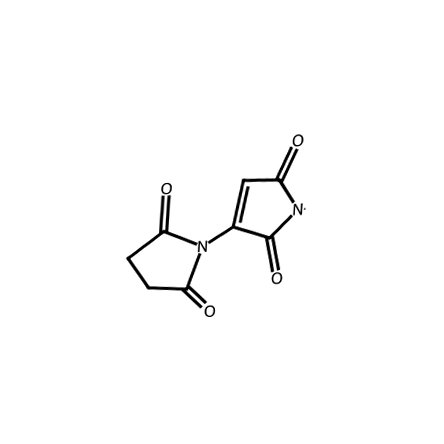 O=C1C=C(N2C(=O)CCC2=O)C(=O)[N]1